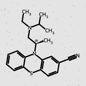 CCN(C[C@@H](C)N1c2ccccc2Sc2ccc(C#N)cc21)C(C)C